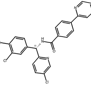 O=C(N[C@@H](c1ccc(Cl)c(Cl)c1)c1ccc(Cl)cn1)c1ccc(-c2ccccn2)cc1